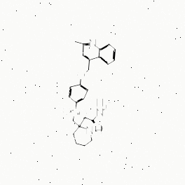 Cc1cc(COc2ccc(S(=O)(=O)CC3(CC(=O)NO)CCCCN3)cc2)c2ccccc2n1